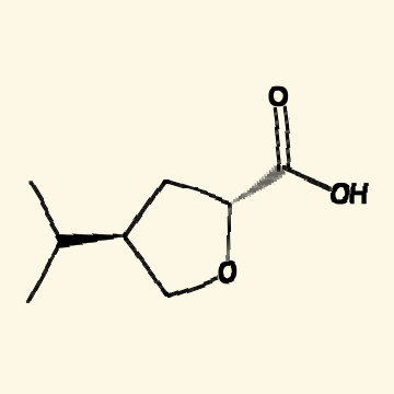 CC(C)[C@@H]1CO[C@@H](C(=O)O)C1